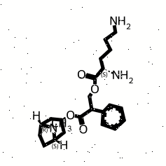 CN1[C@@H]2CC[C@H]1C[C@@H](OC(=O)C(COC(=O)[C@@H](N)CCCCN)c1ccccc1)C2